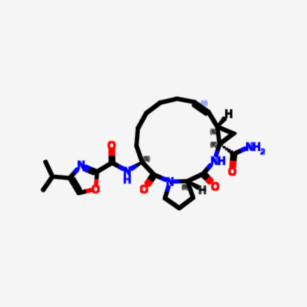 CC(C)c1coc(C(=O)N[C@H]2CCCCC/C=C\[C@@H]3C[C@@]3(C(N)=O)NC(=O)[C@@H]3CCCN3C2=O)n1